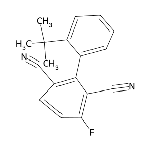 CC(C)(C)c1ccccc1-c1c(C#N)ccc(F)c1C#N